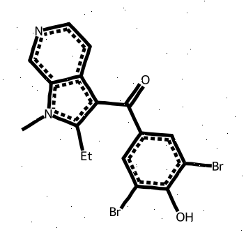 CCc1c(C(=O)c2cc(Br)c(O)c(Br)c2)c2ccncc2n1C